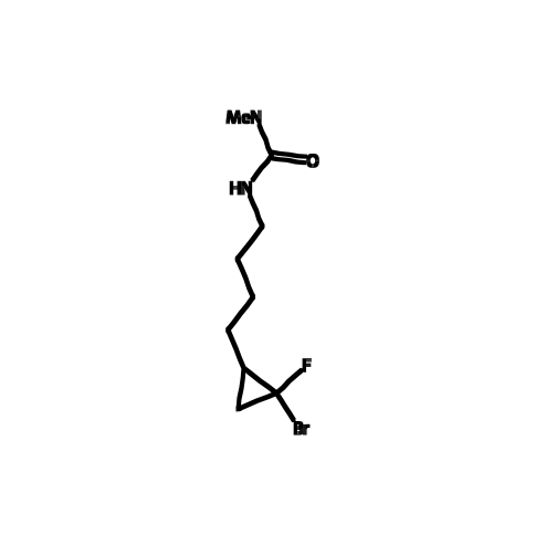 CNC(=O)NCCCCC1CC1(F)Br